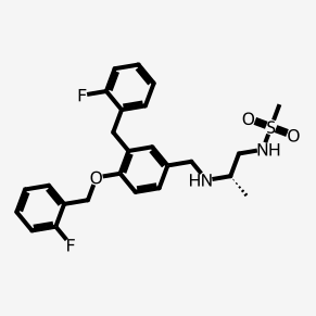 C[C@@H](CNS(C)(=O)=O)NCc1ccc(OCc2ccccc2F)c(Cc2ccccc2F)c1